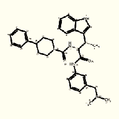 C[C@@H](c1c[nH]c2ccccc12)[C@@H](NC(=O)N1CCC(c2ccccc2)CC1)C(=O)Nc1cccc(CN(C)C)c1